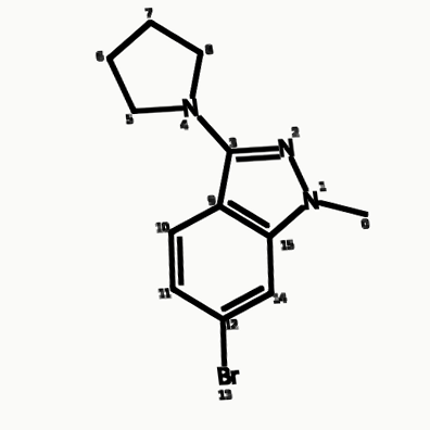 Cn1nc(N2CCCC2)c2ccc(Br)cc21